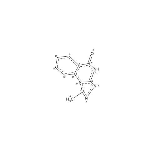 Cc1nnc2[nH]c(=O)c3ccccc3n12